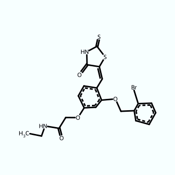 CCNC(=O)COc1ccc(C=C2SC(=S)NC2=O)c(OCc2ccccc2Br)c1